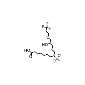 CS(=O)(=O)N(CCCCCCC(=O)O)CCCC(O)COCCC(F)(F)F